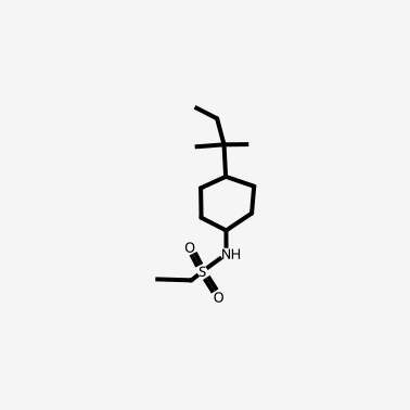 CCC(C)(C)C1CCC(NS(=O)(=O)CC)CC1